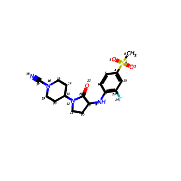 CS(=O)(=O)c1ccc(NC2CCN(C3CCN(C#N)CC3)C2=O)c(F)c1